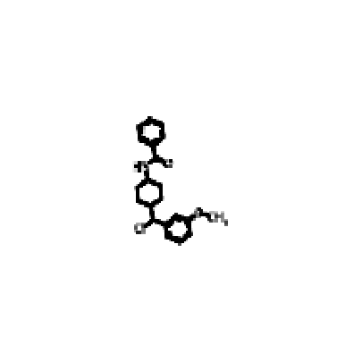 COc1cccc(C(Cl)C2CCC(NC(=O)c3ccccc3)CC2)c1